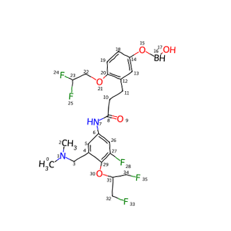 CN(C)Cc1cc(NC(=O)CCc2cc(OBO)ccc2OCC(F)F)cc(F)c1OC(CF)CF